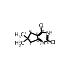 CC1(C)Cc2nc(Cl)nc(Cl)c2C1